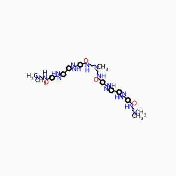 CN(C)CCNC(=O)c1ccc(-c2nc3ccc(-c4ccc5nc(-c6ccc(C(=O)NCCCN(C)CCCNC(=O)c7ccc(-c8nc9ccc(-c%10ccc%11nc(-c%12ccc(C(=O)NCCN(C)C)cc%12)[nH]c%11c%10)cc9[nH]8)cc7)cc6)[nH]c5c4)cc3[nH]2)cc1